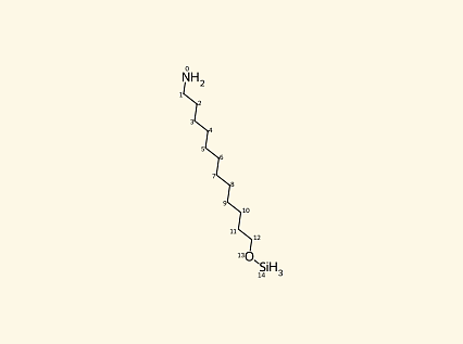 NCCCCCCCCCCCCO[SiH3]